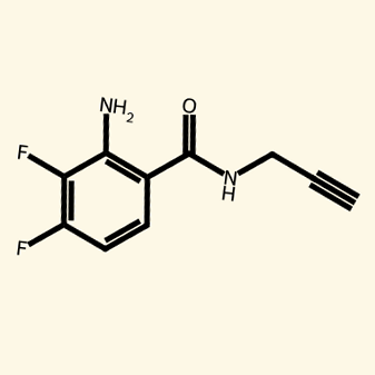 C#CCNC(=O)c1ccc(F)c(F)c1N